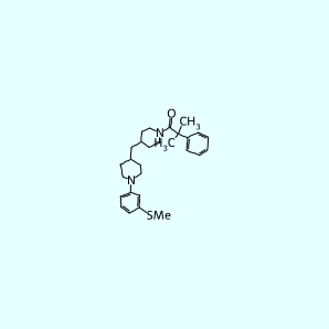 CSc1cccc(N2CCC(CC3CCN(C(=O)C(C)(C)c4ccccc4)CC3)CC2)c1